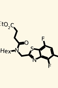 CCCCCCN(Cc1nc2c(F)c(F)cc(F)c2s1)C(=O)CCC(=O)OCC